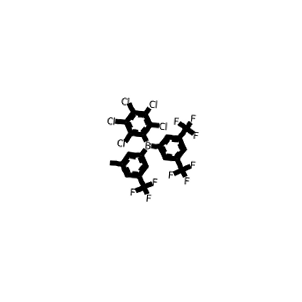 Cc1cc(B(c2cc(C(F)(F)F)cc(C(F)(F)F)c2)c2c(Cl)c(Cl)c(Cl)c(Cl)c2Cl)cc(C(F)(F)F)c1